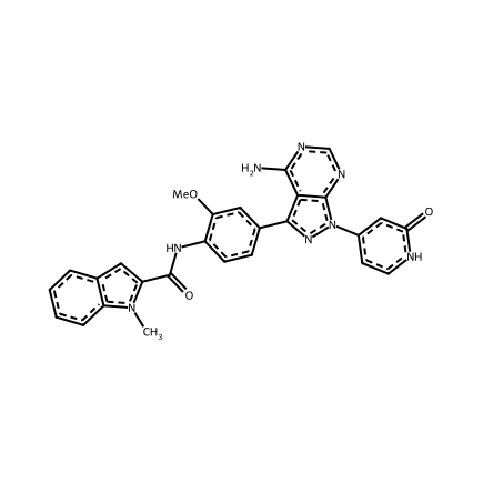 COc1cc(-c2nn(-c3cc[nH]c(=O)c3)c3ncnc(N)c23)ccc1NC(=O)c1cc2ccccc2n1C